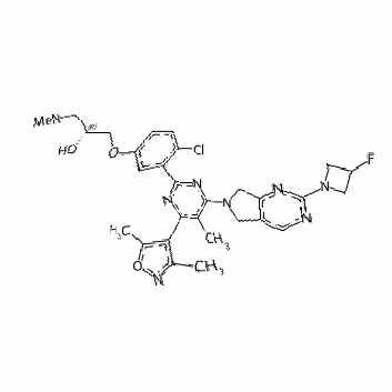 CNC[C@@H](O)COc1ccc(Cl)c(-c2nc(-c3c(C)noc3C)c(C)c(N3Cc4cnc(N5CC(F)C5)nc4C3)n2)c1